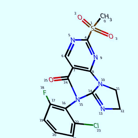 CS(=O)(=O)c1ncc2c(n1)N1CCN=C1N(c1c(F)cccc1Cl)C2=O